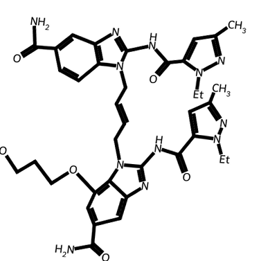 CCn1nc(C)cc1C(=O)Nc1nc2cc(C(N)=O)ccc2n1CC=CCn1c(NC(=O)c2cc(C)nn2CC)nc2cc(C(N)=O)cc(OCCCO)c21